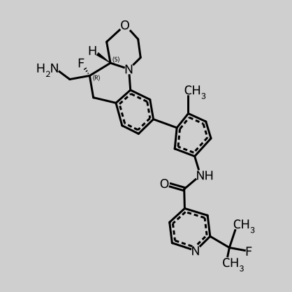 Cc1ccc(NC(=O)c2ccnc(C(C)(C)F)c2)cc1-c1ccc2c(c1)N1CCOC[C@H]1[C@](F)(CN)C2